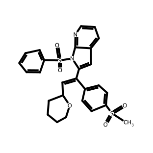 CS(=O)(=O)c1ccc(C(=CC2CCCCO2)c2cc3cccnc3n2S(=O)(=O)c2ccccc2)cc1